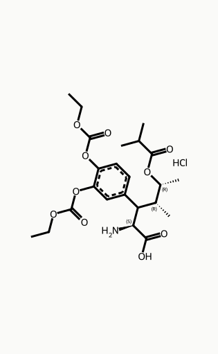 CCOC(=O)Oc1ccc(C([C@H](N)C(=O)O)[C@@H](C)[C@@H](C)OC(=O)C(C)C)cc1OC(=O)OCC.Cl